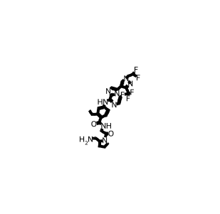 CCc1cc(Nc2nccn3c(-c4cn(CC(F)F)nc4C(F)(F)F)cnc23)ccc1C(=O)NCC(=O)N1CCCC1CN